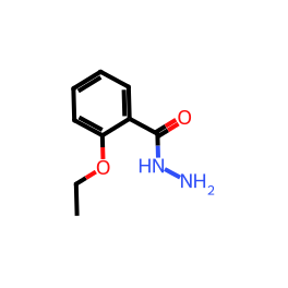 CCOc1ccccc1C(=O)NN